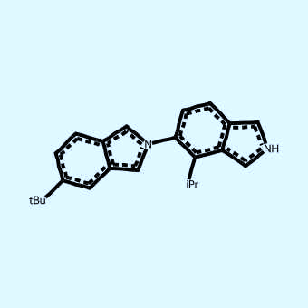 CC(C)c1c(-n2cc3ccc(C(C)(C)C)cc3c2)ccc2c[nH]cc12